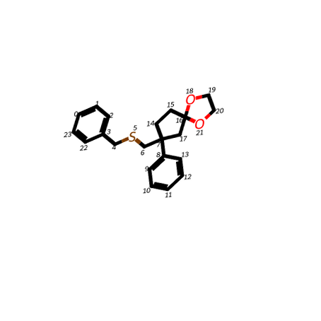 c1ccc(CSCC2(c3ccccc3)CCC3(C2)OCCO3)cc1